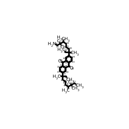 CCC(C)(CCCC(C)C(C)(C)CC)c1ccc2c(c1)C(=O)c1ccc(C(C)(CC)CCCC(C)C(C)(C)CN)cc1C2=O